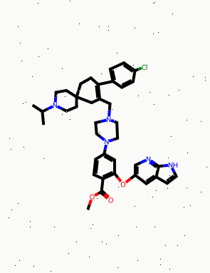 COC(=O)c1ccc(N2CCN(CC3=C(c4ccc(Cl)cc4)CCC4(CCN(C(C)C)CC4)C3)CC2)cc1Oc1cnc2[nH]ccc2c1